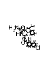 CCC(CN1CC[C@@H](CNC(=O)c2ccc3cc(Cl)ccc3c2)N[C@@H](CCN)C1=O)c1ccccc1